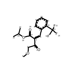 COCC(=O)C(=Cc1ccccc1C(F)(F)F)C(=O)OC(C)C